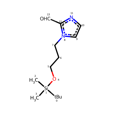 CC(C)(C)[Si](C)(C)OCCCn1ccnc1C=O